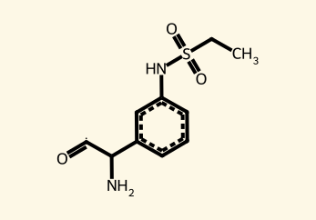 CCS(=O)(=O)Nc1cccc(C(N)[C]=O)c1